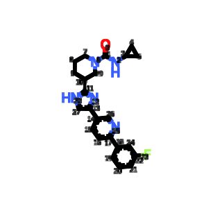 O=C(NC1CC1)N1CCC[C@H](c2nc(-c3ccc(-c4cccc(F)c4)nc3)c[nH]2)C1